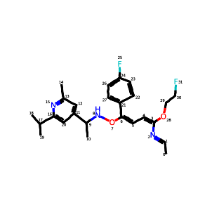 C/C=N/C(=C\C=C(\ONC(C)c1cc(C)nc(C(C)C)c1)c1ccc(F)cc1)OCCF